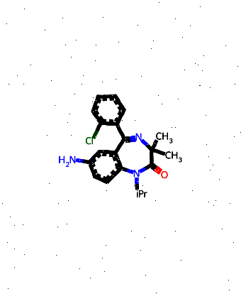 CC(C)N1C(=O)C(C)(C)N=C(c2ccccc2Cl)c2cc(N)ccc21